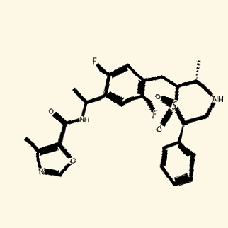 Cc1ncoc1C(=O)NC(C)c1cc(F)c(CC2[C@H](C)NC[C@@H](c3ccccc3)S2(=O)=O)cc1F